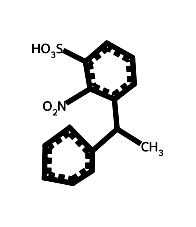 CC(c1ccccc1)c1cccc(S(=O)(=O)O)c1[N+](=O)[O-]